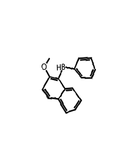 COc1ccc2ccccc2c1Bc1ccccc1